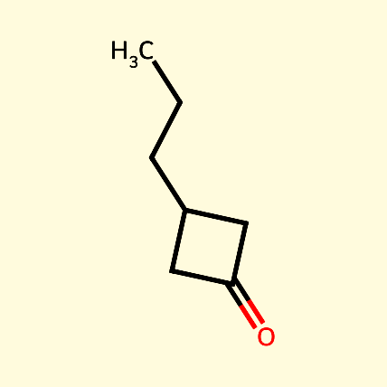 CCCC1CC(=O)C1